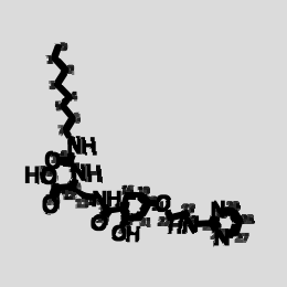 CCCCCCCCNC(=O)N[C@@H](CNC(=O)c1ccc(OCCNc2ncccn2)cc1O)C(=O)O